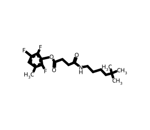 Cc1cc(F)c(F)c(OC(=O)CCC(=O)NCCCCC(C)(C)C)c1F